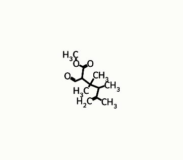 C=C(C)C(C)C(C)(C)C(C=O)C(=O)OC